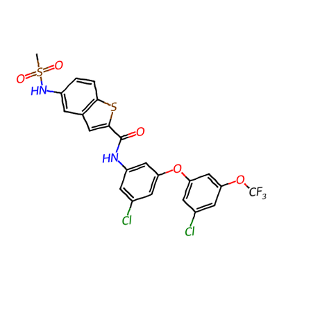 CS(=O)(=O)Nc1ccc2sc(C(=O)Nc3cc(Cl)cc(Oc4cc(Cl)cc(OC(F)(F)F)c4)c3)cc2c1